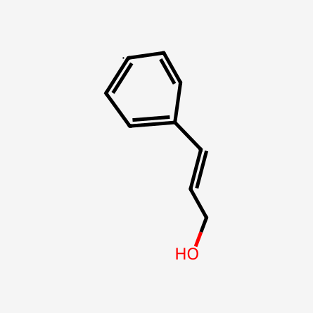 OCC=Cc1cc[c]cc1